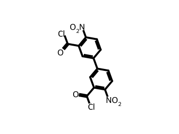 O=C(Cl)c1cc(-c2ccc([N+](=O)[O-])c(C(=O)Cl)c2)ccc1[N+](=O)[O-]